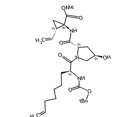 C=CCCCCC[C@H](NC(=O)OC(C)(C)C)C(=O)N1C[C@H](O)C[C@H]1C(=O)N[C@]1(C(=O)OC)C[C@H]1C=C